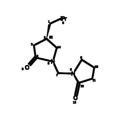 CC(C)C[C@H]1CC(=O)N(CN2CCCC2=O)C1